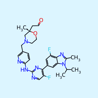 Cc1nc2c(F)cc(-c3nc(Nc4ccc(CN5CCO[C@@](C)(CC=O)C5)cn4)ncc3F)cc2n1C(C)C